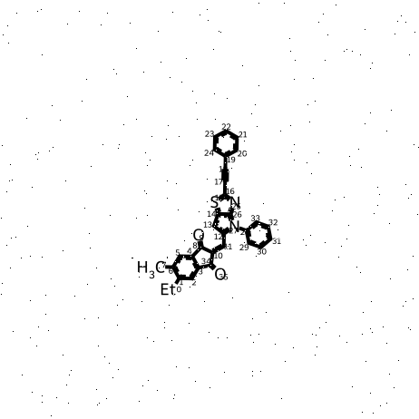 CCc1cc2c(cc1C)C(=O)/C(=C\c1cc3sc(C#Cc4ccccc4)nc3n1-c1ccccc1)C2=O